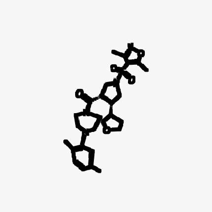 Cc1ccc(C)c(N2CCN(C(=O)[C@@H]3CN(S(=O)(=O)c4c(C)noc4C)C[C@H]3C3CCOC3)CC2)c1